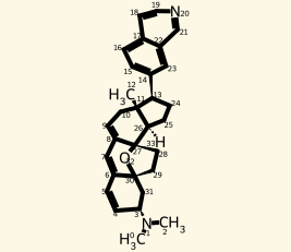 CN(C)[C@@H]1C=CC2=CC3=CC[C@]4(C)[C@@H](c5ccc6ccncc6c5)CC[C@H]4[C@@]34CC[C@]2(C1)O4